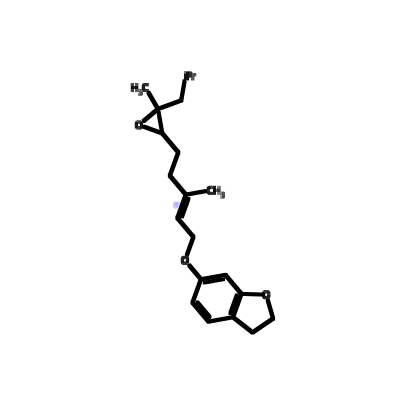 C/C(=C\COc1ccc2c(c1)OCC2)CCC1OC1(C)CC(C)C